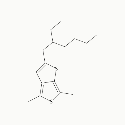 CCCCC(CC)Cc1cc2c(C)sc(C)c2s1